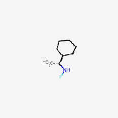 O=C(O)[C@@H](NF)C1CCCCC1